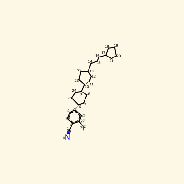 N#Cc1ccc([C@H]2CC[C@H]([C@H]3CC[C@H](CCCC4CCCC4)CC3)CC2)cc1F